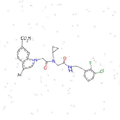 CC(=O)c1cn(CC(=O)N(CC(=O)NCc2cccc(Cl)c2F)C2CC2)c2cc(C(=O)O)ccc12